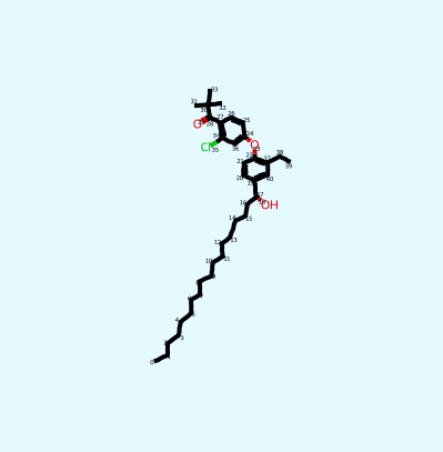 CCCCCCCCCCCCCCCCCC(O)c1ccc(Oc2ccc(C(=O)C(C)(C)C)c(Cl)c2)c(CC)c1